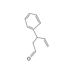 C=CC(CC=O)c1ccccc1